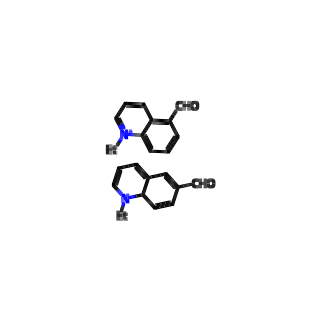 CCN1C=CC=C2C=C(C=O)C=CC21.CC[n+]1cccc2c(C=O)cccc21